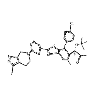 CC(=O)[C@@H](OC(C)(C)C)c1c(C)cc2nc(-c3ccnc(N4CCn5c(C)nnc5C4)c3)sc2c1-c1ccc(Cl)cc1